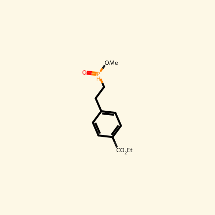 CCOC(=O)c1ccc(CC[PH](=O)OC)cc1